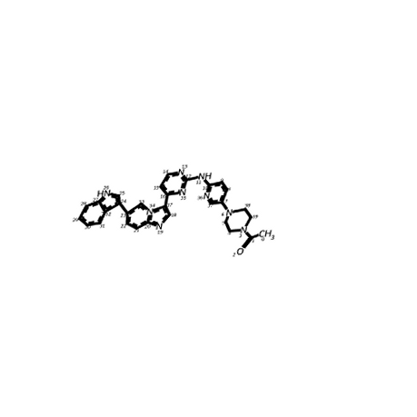 CC(=O)N1CCN(c2ccc(Nc3nccc(-c4cnc5ccc(-c6c[nH]c7ccccc67)cn45)n3)nc2)CC1